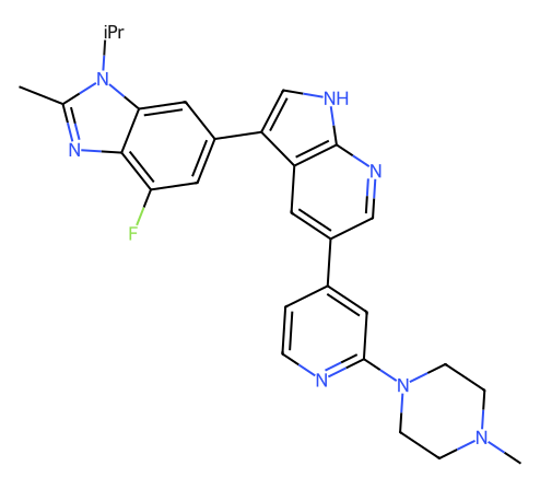 Cc1nc2c(F)cc(-c3c[nH]c4ncc(-c5ccnc(N6CCN(C)CC6)c5)cc34)cc2n1C(C)C